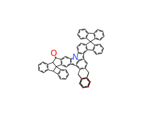 O=C1c2cc3c(cc2C24c5ccccc5C2c2ccccc2C14)c1c2c(cc4c5c6c(ccc5n3c41)C1(c3ccccc3-c3ccccc31)c1ccccc1-6)C1c3ccccc3C2c2ccccc21